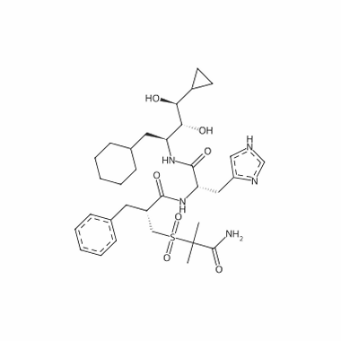 CC(C)(C(N)=O)S(=O)(=O)C[C@H](Cc1ccccc1)C(=O)N[C@@H](Cc1c[nH]cn1)C(=O)N[C@@H](CC1CCCCC1)[C@@H](O)[C@@H](O)C1CC1